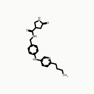 CCCCc1ccc(Nc2ccc(CNC(=O)C3CNC(=O)C3)cc2)cn1